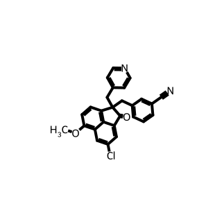 COc1ccc2c3c(cc(Cl)cc13)C(=O)C2(Cc1ccncc1)Cc1cccc(C#N)c1